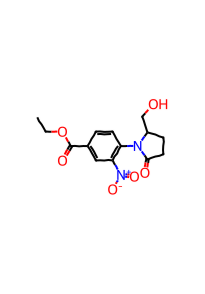 CCOC(=O)c1ccc(N2C(=O)CCC2CO)c([N+](=O)[O-])c1